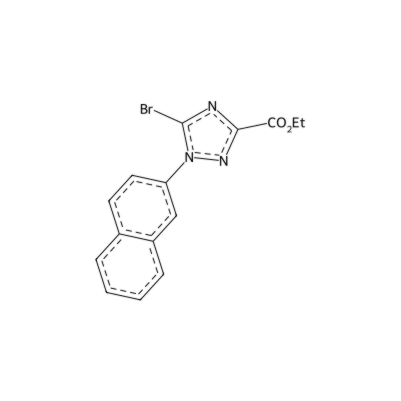 CCOC(=O)c1nc(Br)n(-c2ccc3ccccc3c2)n1